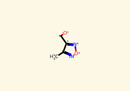 Cc1nonc1C[O]